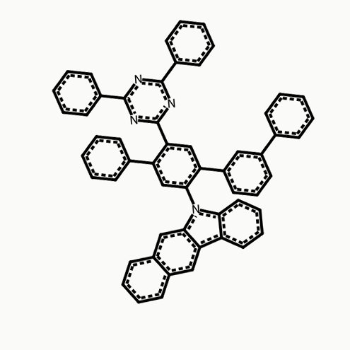 c1ccc(-c2cccc(-c3cc(-c4nc(-c5ccccc5)nc(-c5ccccc5)n4)c(-c4ccccc4)cc3-n3c4ccccc4c4cc5ccccc5cc43)c2)cc1